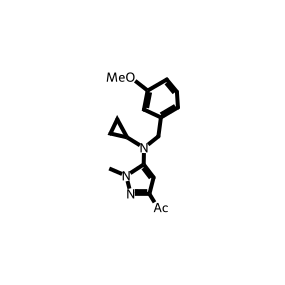 COc1cccc(CN(c2cc(C(C)=O)nn2C)C2CC2)c1